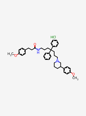 COc1ccc(CCC(=O)NCCCC(CCCN2CCCC(c3ccc(OC)cc3)C2)(c2ccccc2)c2ccccc2)cc1.Cl